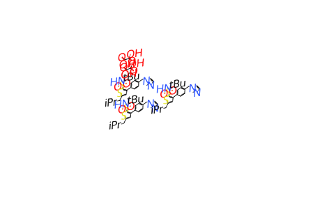 CC(C)Cc1cc(-c2ccc(Cn3ccnc3)cc2)c(S(=O)(=O)NC(C)(C)C)s1.CC(C)Cc1cc(-c2ccc(Cn3ccnc3)cc2)c(S(=O)(=O)NC(C)(C)C)s1.CC(C)Cc1cc(-c2ccc(Cn3ccnc3)cc2)c(S(=O)(=O)NC(C)(C)C)s1.O=C(O)C(=O)O.O=C(O)C(=O)O